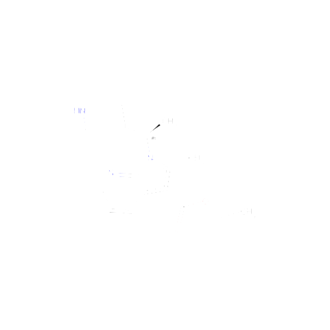 CCOC(=O)c1c(C)n([C@H](C)C2CCNCC2)c2ncccc12